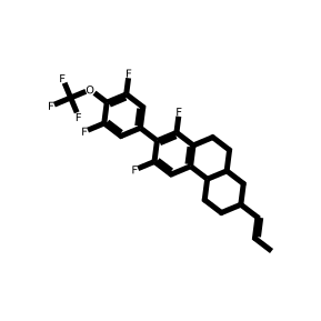 C/C=C/C1CCC2c3cc(F)c(-c4cc(F)c(OC(F)(F)F)c(F)c4)c(F)c3CCC2C1